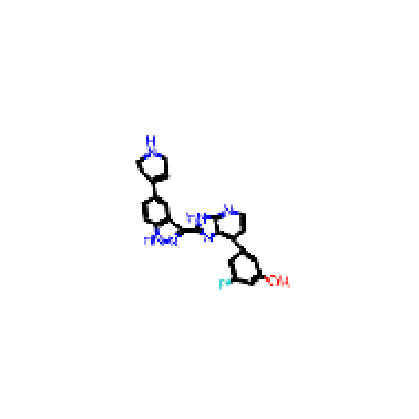 Oc1cc(F)cc(-c2ccnc3[nH]c(-c4n[nH]c5ccc(C6=CCNCC6)cc45)nc23)c1